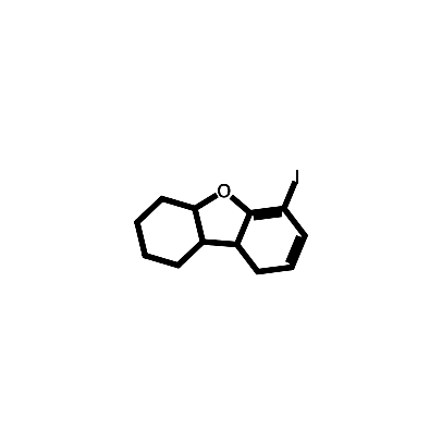 IC1=C2OC3CCCCC3C2CC=C1